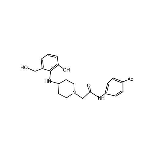 CC(=O)c1ccc(NC(=O)CN2CCC(Nc3c(O)cccc3CO)CC2)cc1